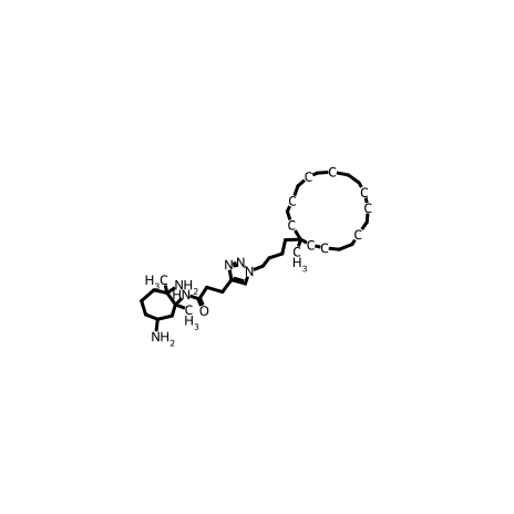 CC1(CCCCn2cc(CCC(=O)NC3(C)CC(N)CCCC3(C)N)nn2)CCCCCCCCCCCCCCCCC1